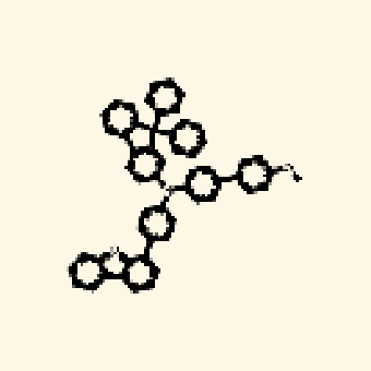 COc1ccc(-c2ccc(N(c3ccc(-c4cccc5c4oc4ccccc45)cc3)c3ccc4c(c3)C(c3ccccc3)(c3ccccc3)c3ccccc3-4)cc2)cc1